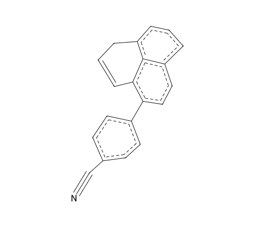 N#Cc1ccc(-c2ccc3cccc4c3c2C=CC4)cc1